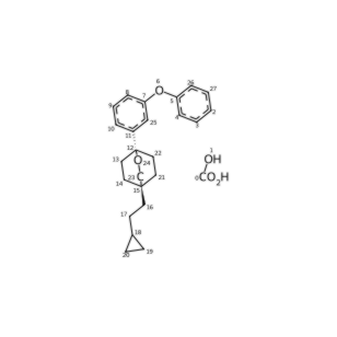 O=C(O)O.c1ccc(Oc2cccc([C@]34CC[C@@](CCC5CC5)(CC3)CO4)c2)cc1